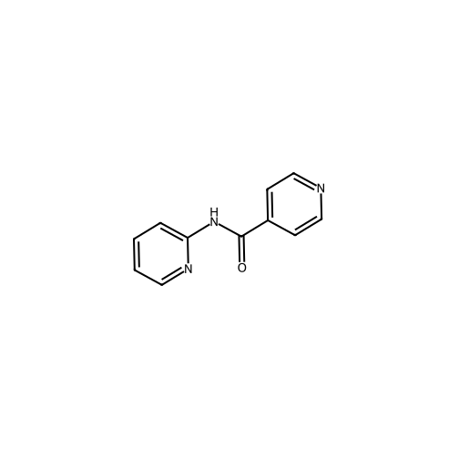 O=C(Nc1ccccn1)c1ccncc1